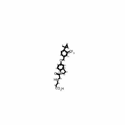 CC1(c2ccc(COc3ccc4c(c3)CCN4C(=O)CNCCC(=O)O)cc2C(F)(F)F)CC1